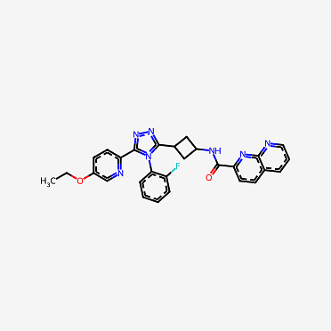 CCOc1ccc(-c2nnc(C3CC(NC(=O)c4ccc5cccnc5n4)C3)n2-c2ccccc2F)nc1